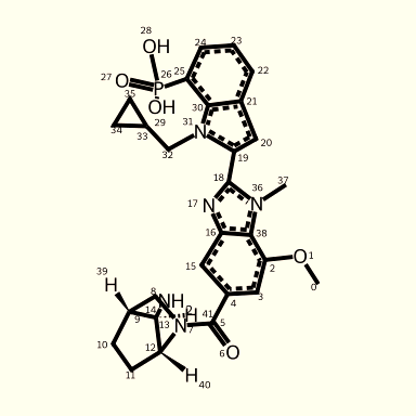 COc1cc(C(=O)N2C[C@H]3CC[C@@H]2[C@@H]3N)cc2nc(-c3cc4cccc(P(=O)(O)O)c4n3CC3CC3)n(C)c12